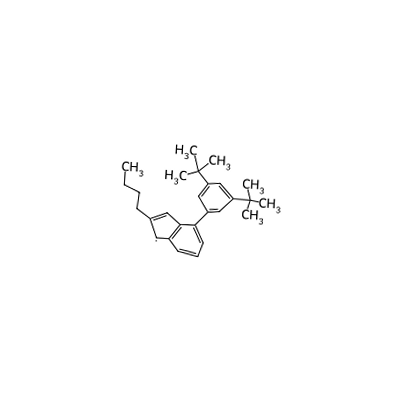 CCCCC1=Cc2c(cccc2-c2cc(C(C)(C)C)cc(C(C)(C)C)c2)[CH]1